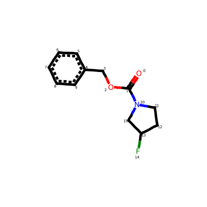 O=C(OCc1ccccc1)N1[CH]CC(F)C1